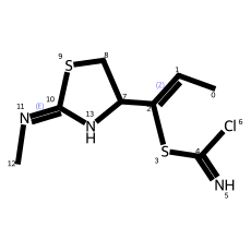 C/C=C(\SC(=N)Cl)C1CS/C(=N/C)N1